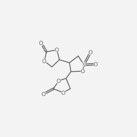 O=C1OCC(C2CS(=O)(=O)OC2C2COC(=O)O2)O1